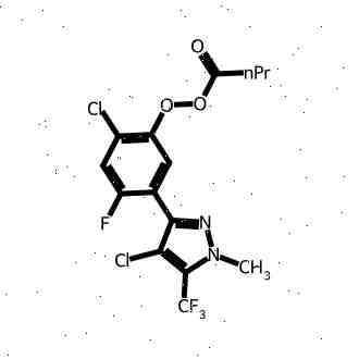 CCCC(=O)OOc1cc(-c2nn(C)c(C(F)(F)F)c2Cl)c(F)cc1Cl